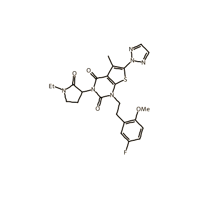 CCN1CCC(n2c(=O)c3c(C)c(-n4nccn4)sc3n(CCc3cc(F)ccc3OC)c2=O)C1=O